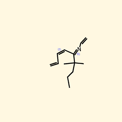 C=C/C=C\C(=N/C=C)C(C)(C)CCC